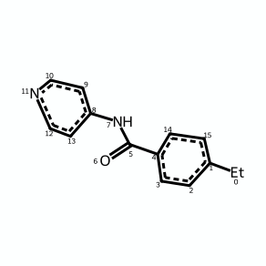 CCc1ccc(C(=O)Nc2ccncc2)cc1